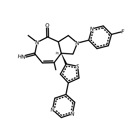 CC1=CC(=N)N(C)C(=O)C2CN(c3ccc(F)cn3)C[C@]12c1cc(-c2cncnc2)cs1